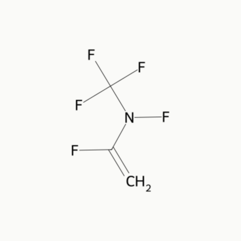 C=C(F)N(F)C(F)(F)F